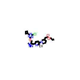 C=CCOC(=O)CC1CCCN(c2ccc(-c3nnn(C)c3COc3nc(Cl)nc(C4CCC4)n3)nc2CC)C1